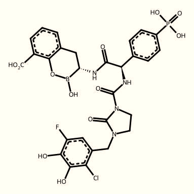 O=C(O)c1cccc2c1OB(O)[C@@H](NC(=O)[C@H](NC(=O)N1CCN(Cc3cc(F)c(O)c(O)c3Cl)C1=O)c1ccc(P(=O)(O)O)cc1)C2